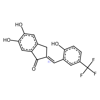 O=C1/C(=C/c2cc(C(F)(F)F)ccc2O)Cc2cc(O)c(O)cc21